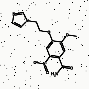 COc1cc(C(N)=O)c([N+](=O)[O-])cc1OCCn1ccnc1